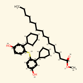 CCCCCCCCCCCCCCCC(=O)OC.Oc1ccc(Sc2ccc(O)cc2C2CCCCC2)c(C2CCCCC2)c1